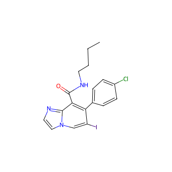 CCCCNC(=O)c1c(-c2ccc(Cl)cc2)c(I)cn2ccnc12